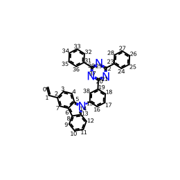 C=Cc1ccc2c(c1)c1ccccc1n2-c1cccc(-c2nc(-c3ccccc3)nc(-c3ccccc3)n2)c1